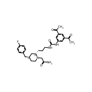 CC(=O)c1cc(NC(=O)NCCC[C@H]2C[C@H](Cc3ccc(F)cc3)CCN2CC(N)=O)cc(C(C)=O)c1